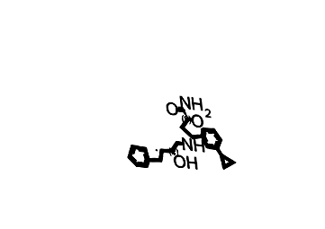 NC(=O)[C@@H]1CC(NC[C@H](O)[CH]Cc2ccccc2)c2cc(C3CC3)ccc2O1